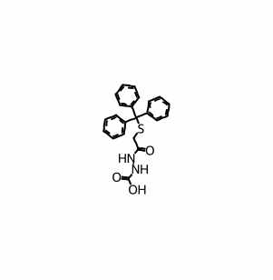 O=C(O)NNC(=O)CSC(c1ccccc1)(c1ccccc1)c1ccccc1